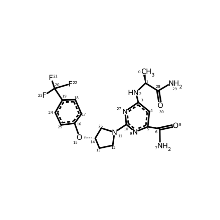 C[C@H](Nc1cc(C(N)=O)nc(N2CC[C@H](Oc3ccc(C(F)(F)F)cc3)C2)n1)C(N)=O